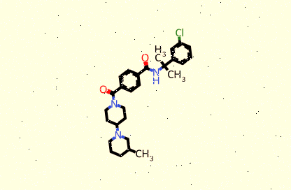 CC1CCCN(C2CCN(C(=O)c3ccc(C(=O)NC(C)(C)c4cccc(Cl)c4)cc3)CC2)C1